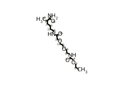 CCCOCC(=O)NCCOCCOCC(=O)NCCCC[C@H](C)C(N)=O